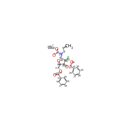 C=CCN(C(=O)OC(C)(C)C)[C@@H]1O[C@H](COC(=O)c2ccccc2)[C@@H](OC(=O)c2ccccc2)[C@@H]1F